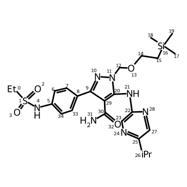 CCS(=O)(=O)Nc1ccc(-c2nn(COCC[Si](C)(C)C)c(Nc3cnc(C(C)C)cn3)c2C(N)=O)cc1